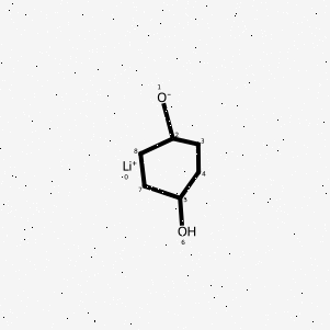 [Li+].[O-]C1CCC(O)CC1